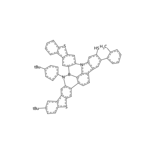 Cc1ccccc1-c1cc2c3ccc4c5c3n(c2cc1S)-c1cc2sc3ccccc3c2cc1B5N(c1ccc(C(C)(C)C)cc1)c1cc2c(cc1-4)sc1ccc(C(C)(C)C)cc12